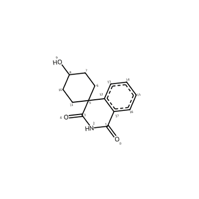 O=C1NC(=O)C2(CCC(O)CC2)c2ccccc21